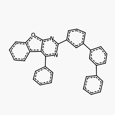 c1ccc(-c2cccc(-c3cccc(-c4nc(-c5ccccc5)c5c(n4)oc4ccccc45)c3)c2)cc1